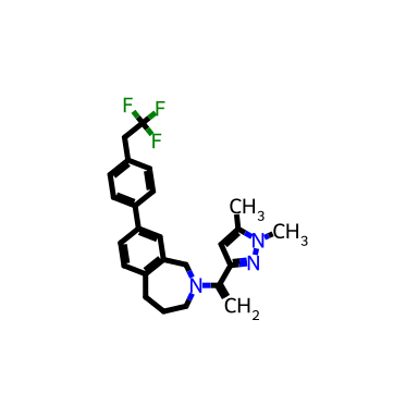 C=C(c1cc(C)n(C)n1)N1CCCc2ccc(-c3ccc(CC(F)(F)F)cc3)cc2C1